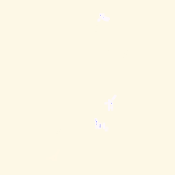 COc1ccc(C[C@H](N)CNC2=CC(c3ccc4cnccc4c3)CS2)cc1